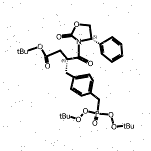 CC(C)(C)OOP(=O)(Cc1ccc(C[C@H](CC(=O)OC(C)(C)C)C(=O)N2C(=O)OC[C@@H]2c2ccccc2)cc1)OOC(C)(C)C